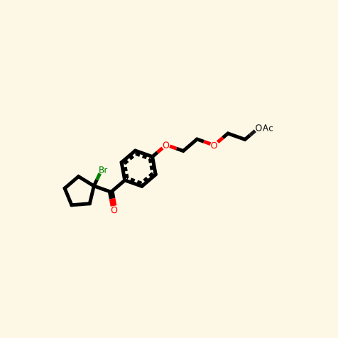 CC(=O)OCCOCCOc1ccc(C(=O)C2(Br)CCCC2)cc1